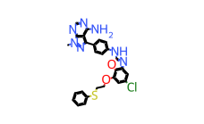 Cn1nc(-c2ccc(Nc3nc4cc(Cl)cc(OCCSc5ccccc5)c4o3)cc2)c2c(N)ncnc21